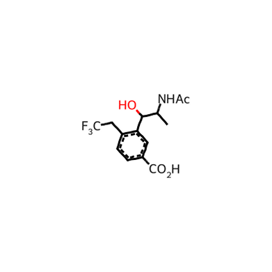 CC(=O)NC(C)C(O)c1cc(C(=O)O)ccc1CC(F)(F)F